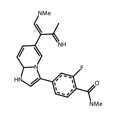 CN/C=C(\C(C)=N)C1=CN2C(c3ccc(C(=O)NC)c(F)c3)=CNC2C=C1